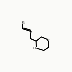 CC/C=C/CC1C[N]CCN1